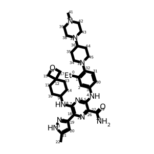 CCc1cc(Nc2nc(NC3CCC4(CC3)COC4)c(-c3cc(C)[nH]n3)nc2C(N)=O)ccc1N1CCC(N2CCN(C)CC2)CC1